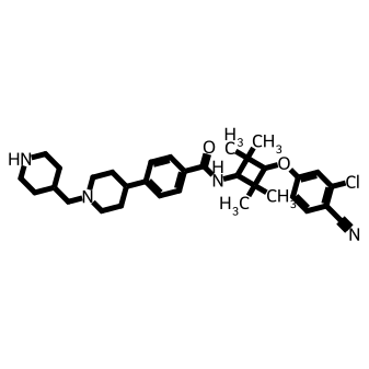 CC1(C)C(NC(=O)c2ccc(C3CCN(CC4CCNCC4)CC3)cc2)C(C)(C)C1Oc1ccc(C#N)c(Cl)c1